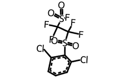 O=S(=O)(F)C(F)(F)C(F)(F)S(=O)(=O)c1c(Cl)cccc1Cl